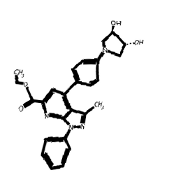 CCOC(=O)c1cc(-c2ccc(N3C[C@@H](O)[C@H](O)C3)cc2)c2c(C)nn(-c3ccccc3)c2n1